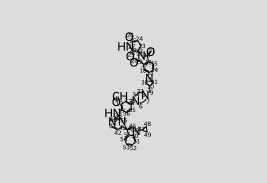 COc1cc(N2CCN(CC3CN(c4ccc5c(c4)C(=O)N(C4CCC(=O)NC4=O)C5=O)C3)CC2)ccc1Nc1nccc(-c2cn(C3CC3)c3ccccc23)n1